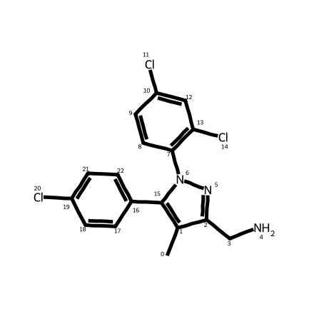 Cc1c(CN)nn(-c2ccc(Cl)cc2Cl)c1-c1ccc(Cl)cc1